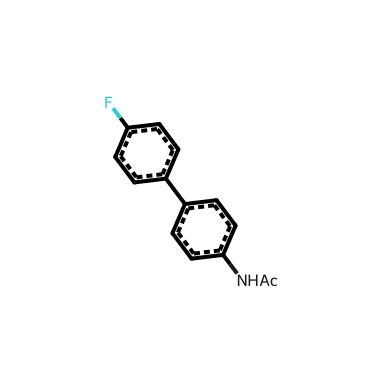 CC(=O)Nc1ccc(-c2ccc(F)cc2)cc1